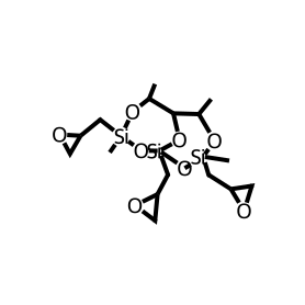 CC1O[Si](C)(CC2CO2)O[Si]2(CC3CO3)OC1C(C)O[Si](C)(CC1CO1)O2